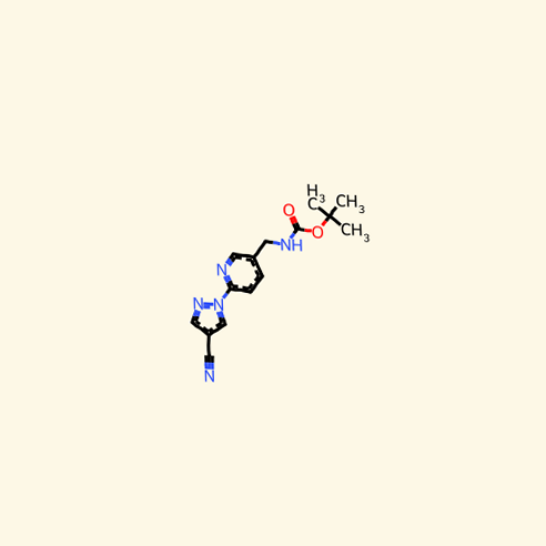 CC(C)(C)OC(=O)NCc1ccc(-n2cc(C#N)cn2)nc1